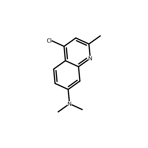 Cc1cc(Cl)c2ccc(N(C)C)cc2n1